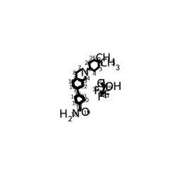 CC1(C)CCC(N2CCc3ccc(-c4ccc(C(N)=O)cc4)cc3C2)CC1.O=C(O)C(F)(F)F